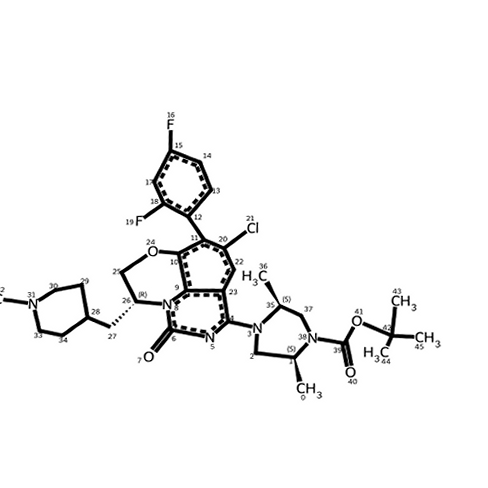 C[C@H]1CN(c2nc(=O)n3c4c(c(-c5ccc(F)cc5F)c(Cl)cc24)OC[C@H]3CC2CCN(C)CC2)[C@@H](C)CN1C(=O)OC(C)(C)C